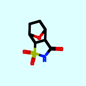 O=C1NS(=O)(=O)C2C3CCC(O3)C12